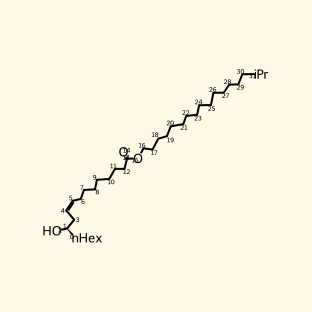 CCCCCC[C@@H](O)C/C=C\CCCCCCCC(=O)OCCCCCCCCCCCCCCCC(C)C